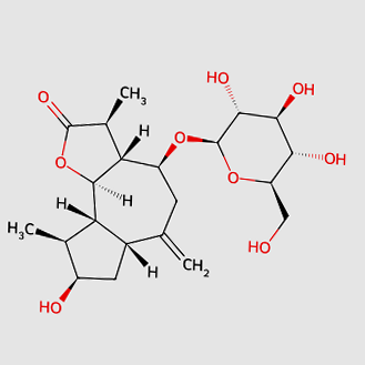 C=C1C[C@H](O[C@@H]2O[C@H](CO)[C@@H](O)[C@H](O)[C@H]2O)[C@@H]2[C@H](OC(=O)[C@H]2C)[C@H]2[C@H](C)[C@H](O)C[C@@H]12